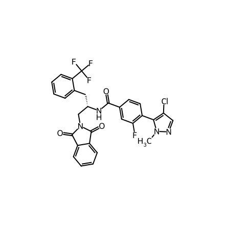 Cn1ncc(Cl)c1-c1ccc(C(=O)N[C@@H](Cc2ccccc2C(F)(F)F)CN2C(=O)c3ccccc3C2=O)cc1F